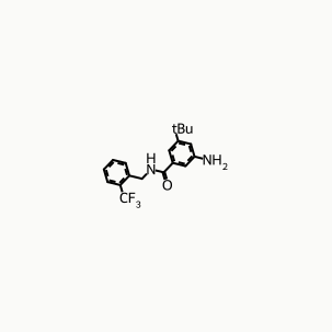 CC(C)(C)c1cc(N)cc(C(=O)NCc2ccccc2C(F)(F)F)c1